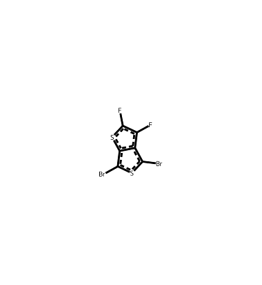 Fc1sc2c(Br)sc(Br)c2c1F